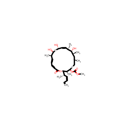 C=C/C=C\[C@H](C)[C@@H]1OC(=O)/C=C\C=C\[C@@H](C)[C@@H](O)C[C@H](O)/C=C\[C@H](C)[C@H](O)[C@@H](C)C[C@@H](C)CC[C@@H](OC(=O)OC)[C@@H]1C